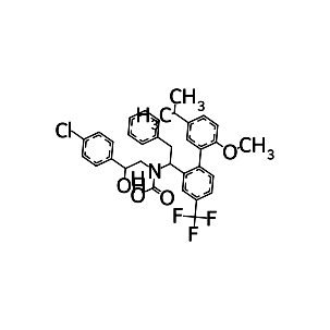 COc1ccc(C(C)C)cc1-c1ccc(C(F)(F)F)cc1C(Cc1ccccc1)N(CC(O)c1ccc(Cl)cc1)C(=O)O